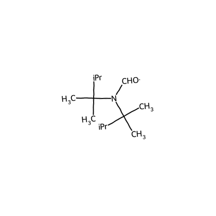 CC(C)C(C)(C)N([C]=O)C(C)(C)C(C)C